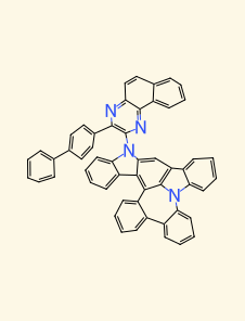 c1ccc(-c2ccc(-c3nc4ccc5ccccc5c4nc3-n3c4ccccc4c4c5c6c(cc43)c3ccccc3n6-c3ccccc3-c3ccccc3-5)cc2)cc1